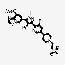 COc1cc(-c2[nH]nc(-c3ncc(C4CCN(CCS(C)(=O)=O)CC4)cc3F)c2C(C)C)cn2ncnc12